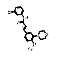 COc1ccc(/C=C/C(=O)Nc2cccc(Cl)c2)cc1N1CCOCC1